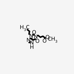 CCCCn1c(=O)n(CCCC(=O)OC)c(=O)c2[nH]cnc21